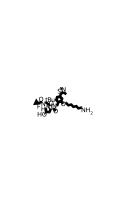 Cc1ncsc1-c1ccc(CNC(=O)[C@@H]2C[C@@H](O)CN2C(=O)[C@@H](NC(=O)C2(F)CC2)C(C)(C)C)c(OCCCCCCCN)c1